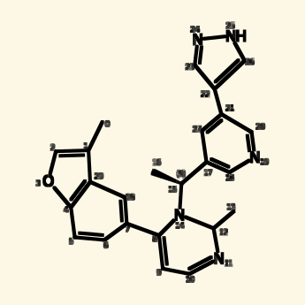 Cc1coc2ccc(C3=CC=NC(C)N3[C@@H](C)c3cncc(-c4cn[nH]c4)c3)cc12